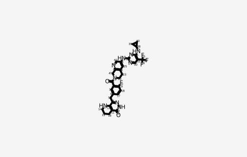 O=C(c1cc(Cc2n[nH]c(=O)c3c2NCCC3)ccc1F)N1CCc2cc(Nc3ncc(C(F)(F)F)c(NC4CC4)n3)cnc2C1